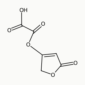 O=C1C=C(OC(=O)C(=O)O)CO1